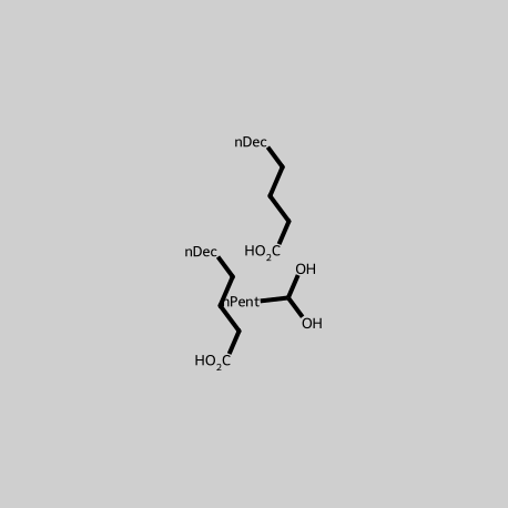 CCCCCC(O)O.CCCCCCCCCCCCCC(=O)O.CCCCCCCCCCCCCC(=O)O